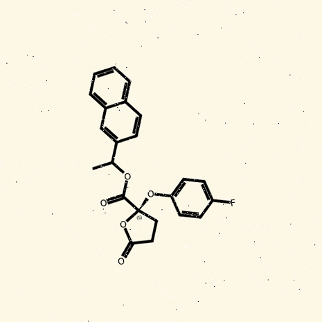 CC(OC(=O)[C@]1(Oc2ccc(F)cc2)CCC(=O)O1)c1ccc2ccccc2c1